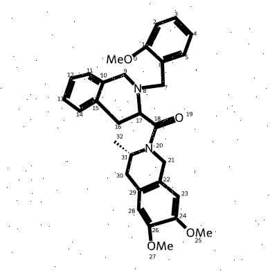 COc1ccccc1CN1Cc2ccccc2CC1C(=O)N1Cc2cc(OC)c(OC)cc2C[C@@H]1C